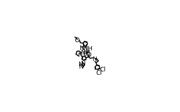 CCOCCc1cccc2[nH]c(NC3CCCCN3c3cc(-n4ccnn4)cc(C(=O)CCN4CCC(c5ccc(Cl)c(Cl)c5)C4)c3OCC)nc12